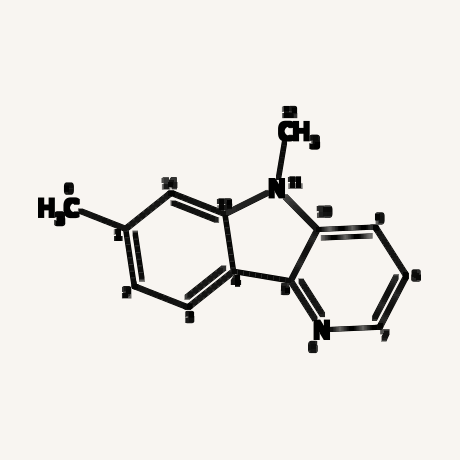 Cc1ccc2c3ncccc3n(C)c2c1